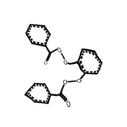 O=C(OOc1ccccc1OOC(=O)c1ccccc1)c1ccccc1